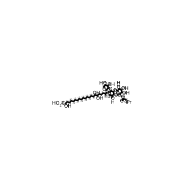 CCCCC(CCC[C@H](O)C(O)CCCCCCCCCCCCCC[C@@H](O)C(=O)O)O[C@H]1OC[C@H](O)[C@@H](O)[C@@H]1O[C@H]1OC[C@H](O)[C@@H](O)[C@@H]1O[C@H]1O[C@@H](COC(=O)CC(C)C)[C@H](O)[C@@H](O)[C@@H]1O